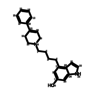 Oc1cc(CCCCN2CC=C(c3ccccc3)CC2)c2cc[nH]c2c1